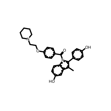 Cc1c(-c2ccc(O)cc2)n(C(=O)c2ccc(OCCN3CCCCC3)cc2)c2ccc(O)cc12